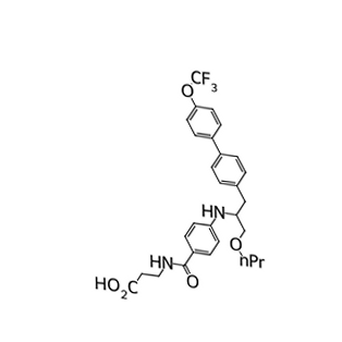 CCCOCC(Cc1ccc(-c2ccc(OC(F)(F)F)cc2)cc1)Nc1ccc(C(=O)NCCC(=O)O)cc1